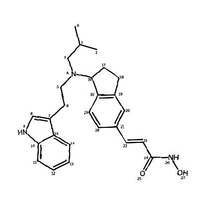 CC(C)CN(CCc1c[nH]c2ccccc12)C1CCc2cc(C=CC(=O)NO)ccc21